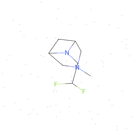 CN1CC2CC(C1)N2CC(F)F